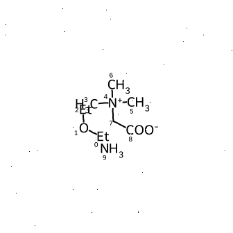 CCOCC.C[N+](C)(C)CC(=O)[O-].N